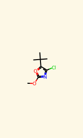 COc1nc(Cl)c(C(C)(C)C)o1